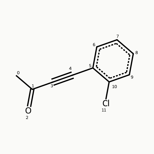 CC(=O)C#Cc1ccccc1Cl